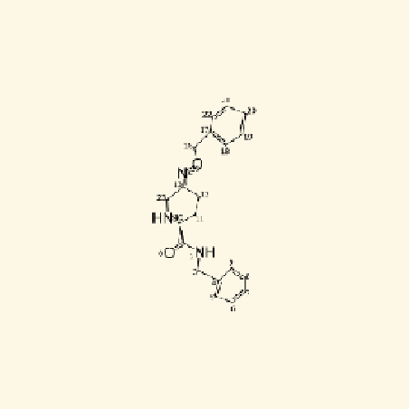 O=C(NCc1ccccc1)[C@@H]1CCC(=NOCc2ccccc2)CN1